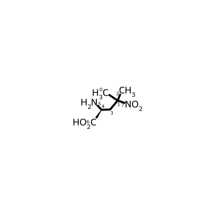 CC(C)(C[C@H](N)C(=O)O)[N+](=O)[O-]